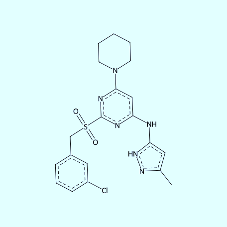 Cc1cc(Nc2cc(N3CCCCC3)nc(S(=O)(=O)Cc3cccc(Cl)c3)n2)[nH]n1